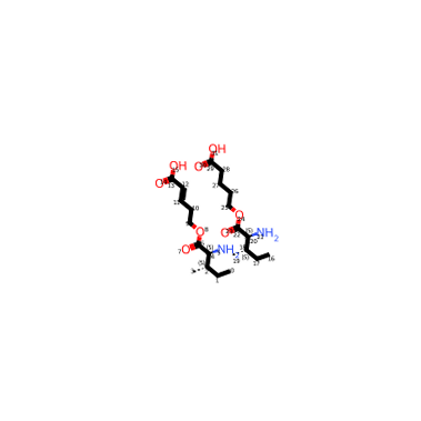 CC[C@H](C)[C@H](N)C(=O)OCCC=CC(=O)O.CC[C@H](C)[C@H](N)C(=O)OCCCCC(=O)O